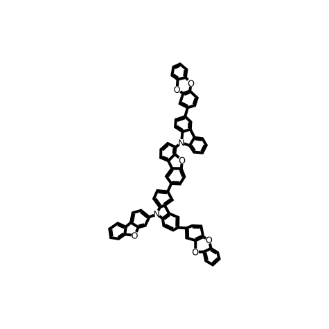 c1ccc2c(c1)Oc1ccc(-c3ccc4c(c3)c3cc(-c5ccc6oc7c(-n8c9ccccc9c9cc(-c%10ccc%11c(c%10)Oc%10ccccc%10O%11)ccc98)cccc7c6c5)ccc3n4-c3ccc4c(c3)oc3ccccc34)cc1O2